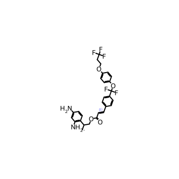 [CH2]C(COC(=O)/C=C/c1ccc(C(F)(F)Oc2ccc(OCCC(F)(F)F)cc2)cc1)c1ccc(N)cc1N